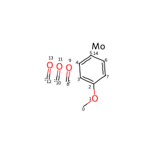 COc1ccccc1.[C]=O.[C]=O.[C]=O.[Mo]